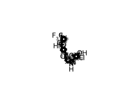 O=C(Cc1ccc(NS(=O)(=O)c2cccc(C(F)(F)F)c2)cc1)N1CCc2[nH]nc(-c3cc(Cl)c(O)cc3O)c2C1